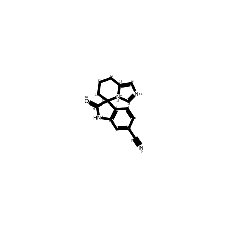 N#Cc1ccc2c(c1)NC(=O)C21CCCC2=CN=C[N+]21